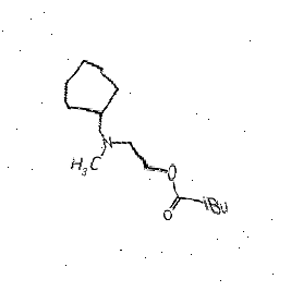 CCC(C)C(=O)OCCN(C)C1CCCCC1